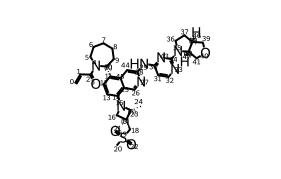 C=CC(=O)N1CCCCC[C@@H]1c1ccc(N2C[C@H](CS(C)(=O)=O)[C@H]2C)c2cnc(Nc3ccnc(N4CC[C@@H]5COC[C@@H]54)n3)cc12